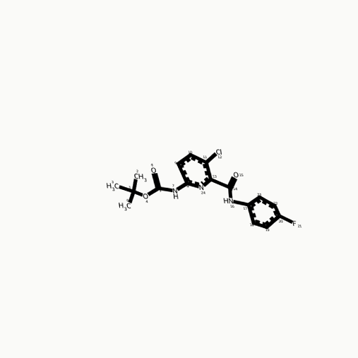 CC(C)(C)OC(=O)Nc1ccc(Cl)c(C(=O)Nc2ccc(F)cc2)n1